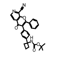 CC(C)(C)OC(=O)NC1(c2ccc(-c3c(-c4ccccc4)oc4c(C#N)nccc4c3=O)cc2)CCC1